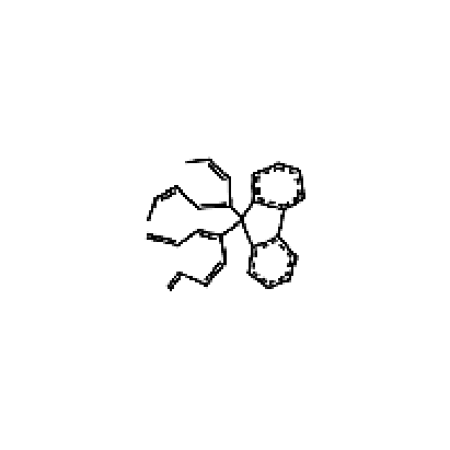 C=C/C=C\C(=C/C=C)C1(C(/C=C\C)=C/C=C\C)c2ccccc2-c2ccccc21